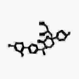 C[C@@H](c1ccc(-c2ccc(F)cc2F)cc1)N1CCC(CC(O)CO)(c2ccc(F)cc2)OC1=O